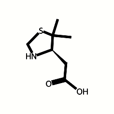 CC1(C)SCN[C@@H]1CC(=O)O